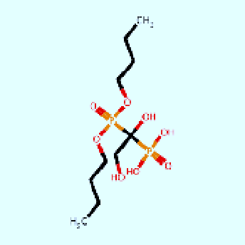 CCCCOP(=O)(OCCCC)C(O)(CO)P(=O)(O)O